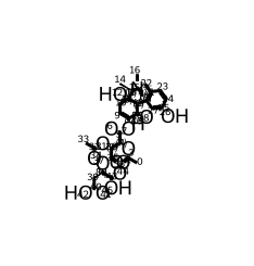 CC(=O)O[C@@H](C(=O)OC1=CC[C@@]2(O)[C@@H](C)N(C)CC[C@@]23c2c(C)ccc(O)c2O[C@@H]13)[C@@H](OC(C)=O)C(=O)O[C@H](CC(=O)O)C(=O)O